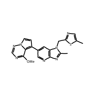 COc1ncnn2ccc(-c3cnc4nc(C)n(Cc5ncc(C)s5)c4c3)c12